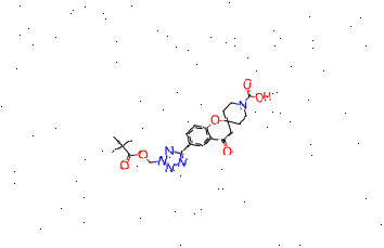 CC(C)(C)C(=O)OCn1nnc(-c2ccc3c(c2)C(=O)CC2(CCN(C(=O)O)CC2)O3)n1